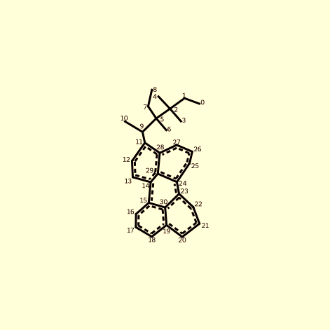 CCC(C)(C)C(C)(CC)C(C)c1ccc2c3cccc4cccc(c5cccc1c52)c43